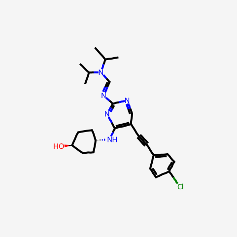 CC(C)N(C=Nc1ncc(C#Cc2ccc(Cl)cc2)c(N[C@H]2CC[C@H](O)CC2)n1)C(C)C